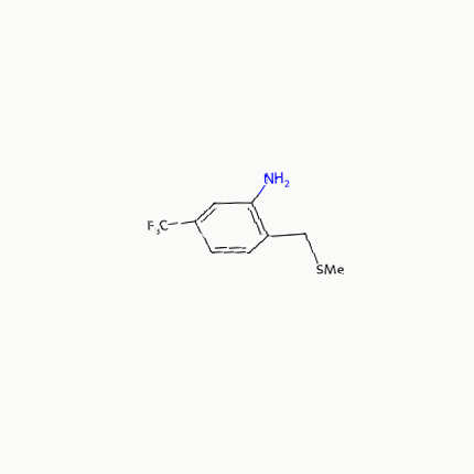 CSCc1ccc(C(F)(F)F)cc1N